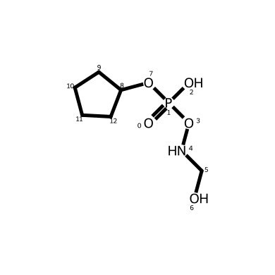 O=P(O)(ONCO)OC1CCCC1